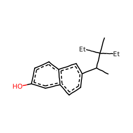 CCC(C)(CC)C(C)c1ccc2cc(O)ccc2c1